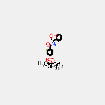 CC1(C)OB(c2ccc(C(=O)N[C@H](CO)c3ccccc3)c(F)c2)OC1(C)C